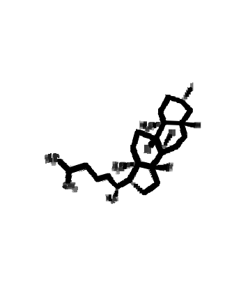 CC(C)CCC[C@@H](C)[C@H]1CC[C@H]2[C@@H]3CC[C@H]4C[C@@H](I)CC[C@]4(C)[C@H]3CC[C@]12C